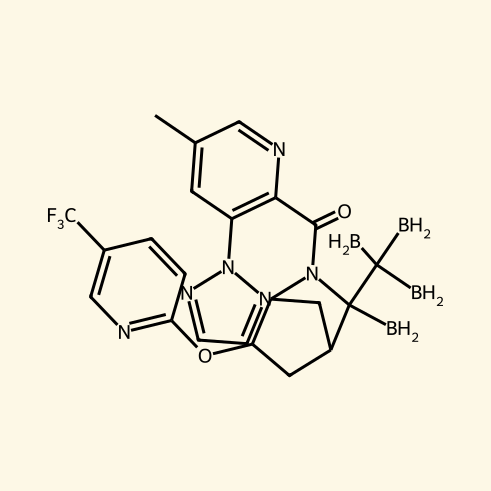 BC(B)(B)C1(B)C2CC(Oc3ccc(C(F)(F)F)cn3)C(C2)N1C(=O)c1ncc(C)cc1-n1nccn1